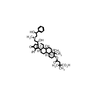 CC(C)C1=C2[C@H]3CC[C@@H]4[C@@]5(C)CC[C@H](OC(=O)CC(C)(C)C(=O)O)C(C)(C)[C@@H]5CC[C@@]4(C)[C@]3(C)CC[C@@]2([C@H](O)CN(C)CC(O)c2ccccc2)CC1=O